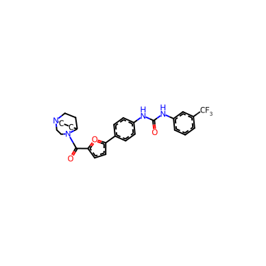 O=C(Nc1ccc(-c2ccc(C(=O)N3CCN4CCC3CC4)o2)cc1)Nc1cccc(C(F)(F)F)c1